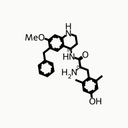 COc1cc2c(cc1Cc1ccccc1)[C@H](NC(=O)[C@@H](N)Cc1c(C)cc(O)cc1C)CCN2